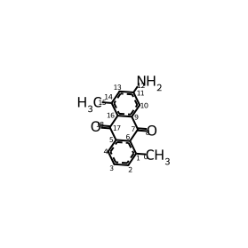 Cc1cccc2c1C(=O)c1cc(N)cc(C)c1C2=O